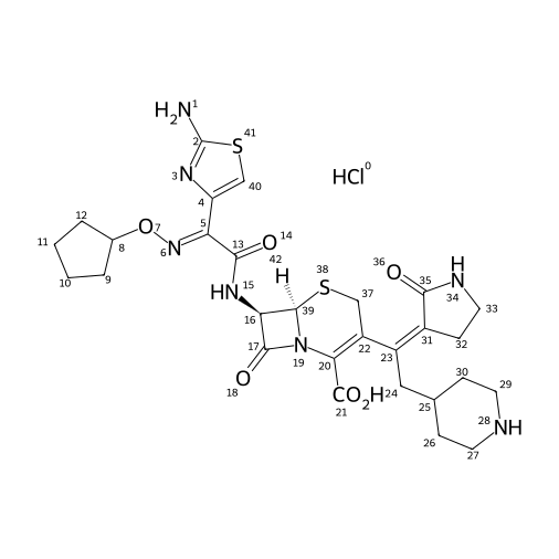 Cl.Nc1nc(C(=NOC2CCCC2)C(=O)N[C@@H]2C(=O)N3C(C(=O)O)=C(C(CC4CCNCC4)=C4CCNC4=O)CS[C@H]23)cs1